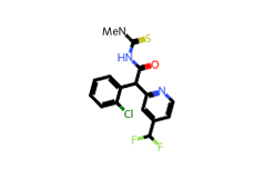 CNC(=S)NC(=O)C(c1cc(C(F)F)ccn1)c1ccccc1Cl